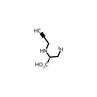 [2H]C[C@H](NCC#C)C(=O)O